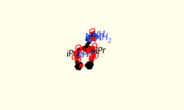 CC(C)[C@H](NC(=O)OCc1ccccc1)C(=O)OCC(CO)(CCn1cnc2c(=O)[nH]c(N)nc21)COC(=O)[C@@H](NC(=O)OCc1ccccc1)C(C)C